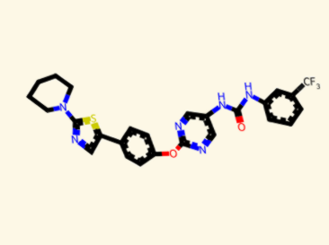 O=C(Nc1cnc(Oc2ccc(-c3cnc(N4CCCCC4)s3)cc2)nc1)Nc1cccc(C(F)(F)F)c1